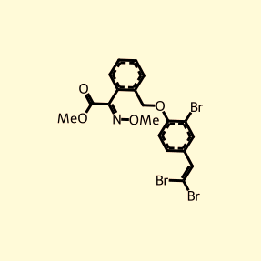 CO/N=C(/C(=O)OC)c1ccccc1COc1ccc(C=C(Br)Br)cc1Br